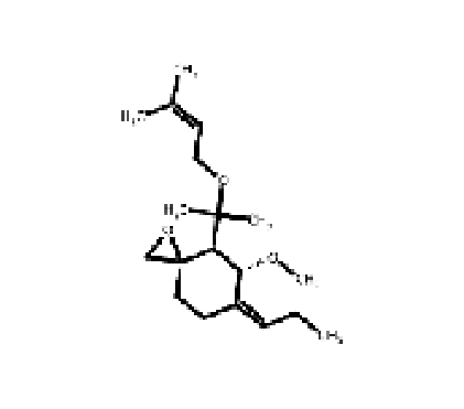 CC/C=C1/CC[C@]2(CO2)[C@@H](C(C)(C)OCC=C(C)C)[C@@H]1OC